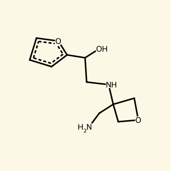 NCC1(NCC(O)c2ccco2)COC1